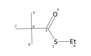 CCSC(=O)C(C)(C)C